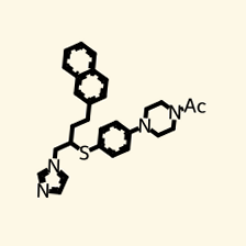 CC(=O)N1CCN(c2ccc(SC(CCc3ccc4ccccc4c3)Cn3ccnc3)cc2)CC1